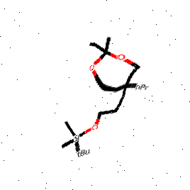 CCCC1(CCO[Si](C)(C)C(C)(C)C)COC(C)(C)OC1